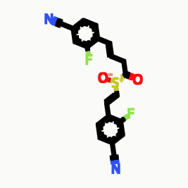 N#Cc1ccc(C=CCC(=O)[S+]([O-])C=Cc2ccc(C#N)cc2F)c(F)c1